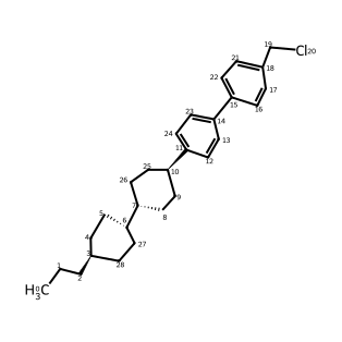 CCC[C@H]1CC[C@H]([C@H]2CC[C@H](c3ccc(-c4ccc(CCl)cc4)cc3)CC2)CC1